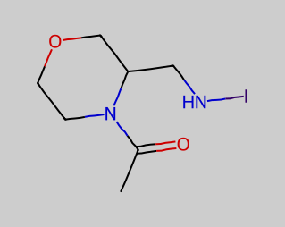 CC(=O)N1CCOCC1CNI